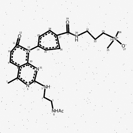 CC(=O)NCCNc1nc(C)c2ccc(=O)n(-c3ccc(C(=O)NCCC[N+](C)(C)[O-])cc3)c2n1